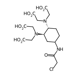 O=C(O)CN(CC(=O)O)[C@@H]1CCC(NC(=O)CCl)C[C@H]1N(CC(=O)O)CC(=O)O